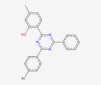 CC(=O)c1ccc(-c2nc(-c3ccccc3)nc(-c3ccc(C)cc3O)n2)cc1